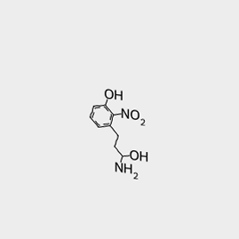 NC(O)CCc1cccc(O)c1[N+](=O)[O-]